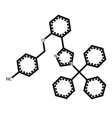 N#Cc1ccc(COc2ccccc2-c2cn(C(c3ccccc3)(c3ccccc3)c3ccccc3)cn2)cc1